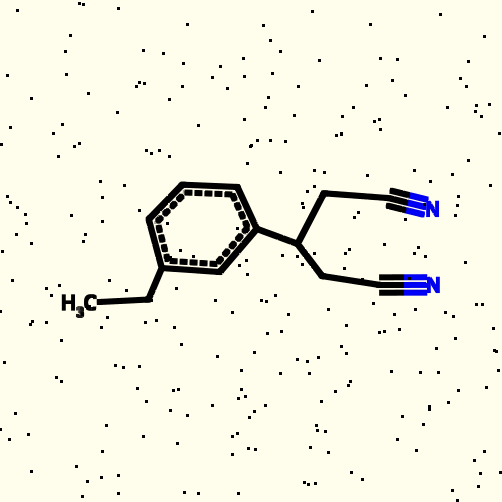 CCc1cccc(C(CC#N)CC#N)c1